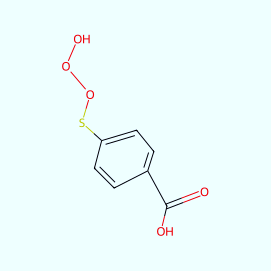 O=C(O)c1ccc(SOOO)cc1